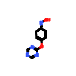 ON=C1C=CC(Oc2ncncn2)=CC1